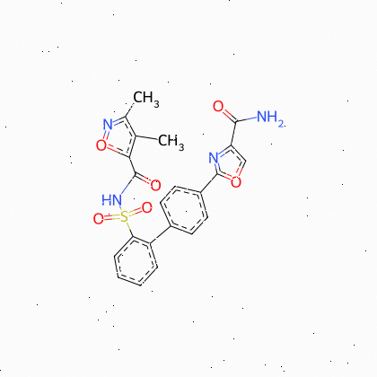 Cc1noc(C(=O)NS(=O)(=O)c2ccccc2-c2ccc(-c3nc(C(N)=O)co3)cc2)c1C